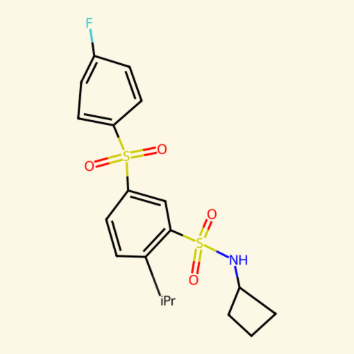 CC(C)c1ccc(S(=O)(=O)c2ccc(F)cc2)cc1S(=O)(=O)NC1CCC1